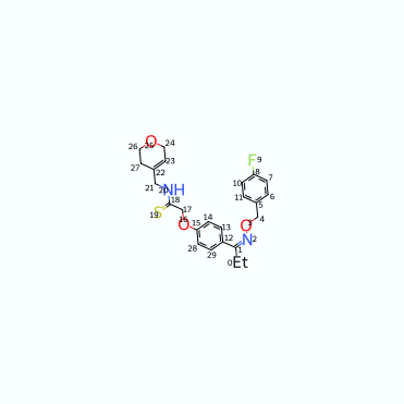 CCC(=NOCc1ccc(F)cc1)c1ccc(OCC(=S)NCC2=CCOCC2)cc1